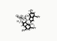 CCC.C[SiH2][Zr+2]([CH]1C(C)=Cc2c(C(C)C)cc(C(C)C)cc21)[CH]1C(C)=Cc2c(C(C)C)cc(C(C)C)cc21.[Cl-].[Cl-]